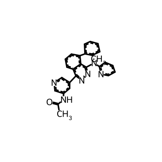 CC(=O)Nc1cncc(-c2nnc(N(C)c3ccccn3)c3c(-c4ccccc4)cccc23)c1